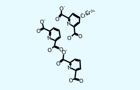 O=C([O-])c1cccc(C(=O)[O-])n1.O=C([O-])c1cccc(C(=O)[O-])n1.O=C([O-])c1cccc(C(=O)[O-])n1.[Cr+3].[Cr+3]